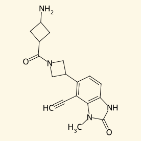 C#Cc1c(C2CN(C(=O)C3CC(N)C3)C2)ccc2[nH]c(=O)n(C)c12